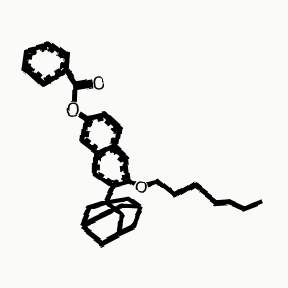 CCCCCCCOc1cc2ccc(OC(=O)c3ccccc3)cc2cc1C12CC3CC(CC(C3)C1)C2